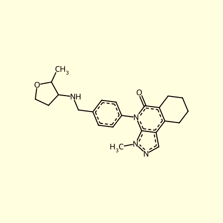 CC1OCCC1NCc1ccc(-n2c(=O)c3c(c4cnn(C)c42)CCCC3)cc1